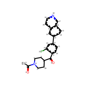 CCC(=O)N1CCC(C(=O)c2ccc(-c3ccc4cnccc4c3)cc2F)CC1